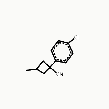 CC1CC(C#N)(c2ccc(Cl)cc2)C1